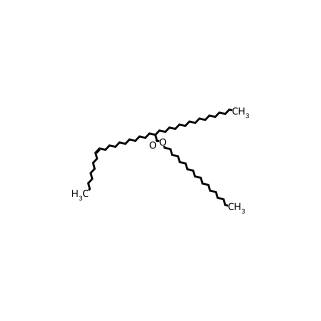 CCCCCCCC/C=C\CCCCCCCCCCC(CCCCCCCCCCCCCCCC)C(=O)OCCCCCCCCCCCCCCCCCC